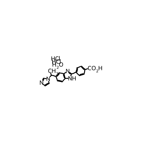 CC(c1ccc2[nH]c(-c3ccc(C(=O)O)cc3)nc2c1)n1ccnc1.Cl.Cl.O